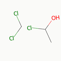 CC(O)Cl.ClCCl